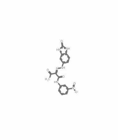 CC(=O)/C(=N/Nc1ccc2[nH]c(=O)[nH]c2c1)C(=O)Nc1cccc([N+](=O)[O-])c1